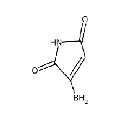 BC1=CC(=O)NC1=O